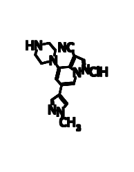 Cl.Cn1cc(-c2cc(N3CCNCC3)c3c(C#N)cnn3c2)cn1